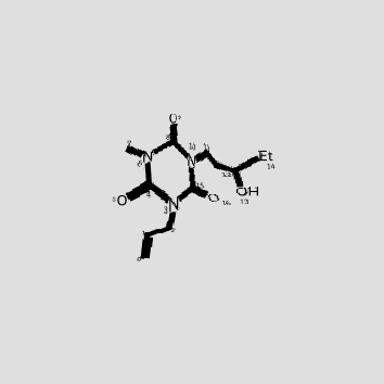 C=CCn1c(=O)n(C)c(=O)n(CC(O)CC)c1=O